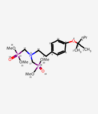 CCCC(C)(C)Oc1ccc(CCN(CP(=O)(OC)OC)CP(=O)(OC)OC)cc1